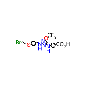 O=C(O)c1ccc(Nc2cc(OCC(F)(F)F)nc(NCc3ccc(OCCCBr)cc3)n2)cc1